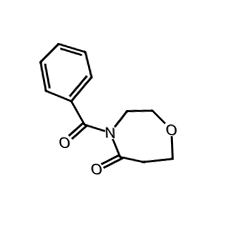 O=C1CCOCCN1C(=O)c1ccccc1